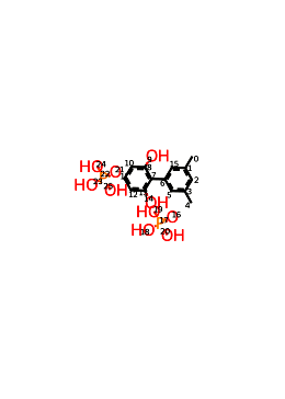 Cc1cc(C)cc(-c2c(O)cccc2O)c1.O=P(O)(O)O.O=P(O)(O)O